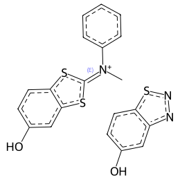 C/[N+](c1ccccc1)=c1/sc2ccc(O)cc2s1.Oc1ccc2snnc2c1